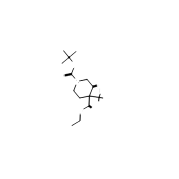 [2H]C([2H])([2H])C1(C(=O)OCC)CCN(C(=O)OC(C)(C)C)CC1=O